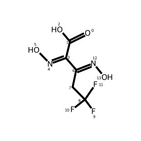 O=C(O)C(=N\O)/C(CC(F)(F)F)=N/O